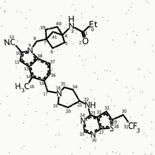 CCC(=O)NC12CCC(Cn3c(C#N)cc4c(C)c(CN5CCC(Nc6ncnc7sc(CC(F)(F)F)cc67)CC5)ccc43)(CC1)C2